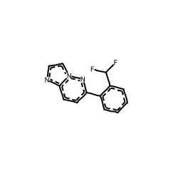 FC(F)c1ccccc1-c1ccc2nccn2n1